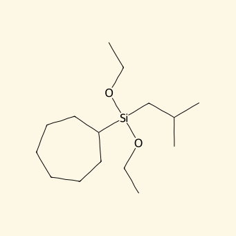 CCO[Si](CC(C)C)(OCC)C1CCCCCC1